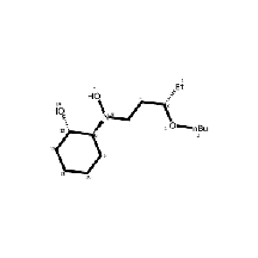 CCCCO[C@@H](CC)CCN(O)[C@H]1CCCC[C@@H]1O